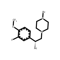 CC(=O)[C@@H](CN1CCN(C(C)=O)CC1)c1ccc(OC(F)(F)F)c(F)c1